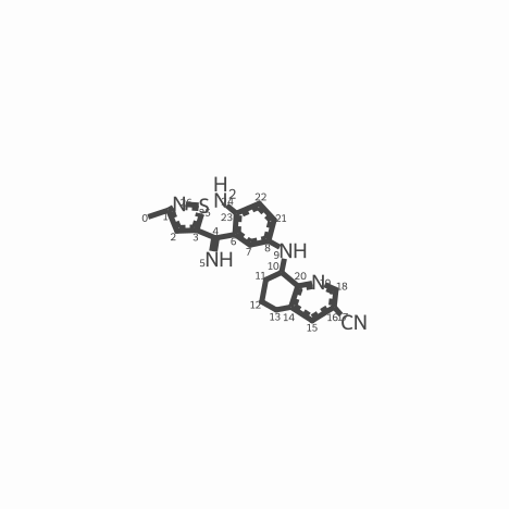 Cc1cc(C(=N)c2cc(NC3CCCc4cc(C#N)cnc43)ccc2N)sn1